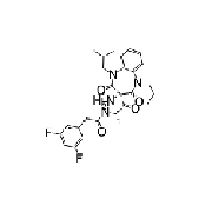 CC(C)CN1C(=O)C(N)(C(=O)[C@H](C)NC(=O)Cc2cc(F)cc(F)c2)C(=O)N(CC(C)C)c2ccccc21